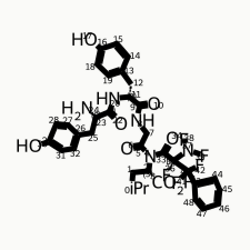 CC(C)C[C@@H](C(=O)O)N(C(=O)CNC(=O)[C@@H](Cc1ccc(O)cc1)NC(=O)[C@@H](N)Cc1ccc(O)cc1)C(=O)[C@@](F)(N(F)F)C(F)(F)c1ccccc1